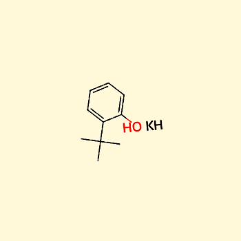 CC(C)(C)c1ccccc1O.[KH]